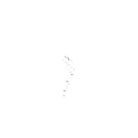 C[C@H]1CC2C3CCC4=CC(=O)CC[C@]4(C)C3[C@@H](O)C[C@]2(C)[C@@]1(O)C(=O)COC(=O)C(Cl)CNC(=O)OC(C)(C)C